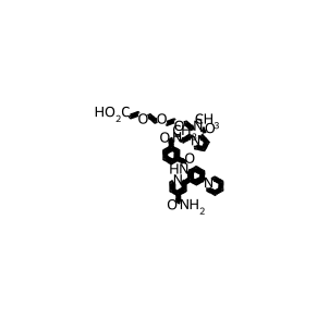 CN(CCN1CCC[C@H]1C(=O)N(C)CCOCCOCCOCCC(=O)O)C(=O)c1cccc(C(=O)Nc2ccc(N3CCCCC3)cc2-c2cc(C(N)=O)ccn2)c1